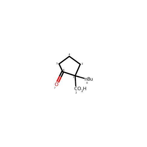 CCCCC1(C(=O)O)CCCC1=O